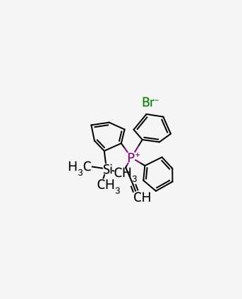 C#CC[P+](c1ccccc1)(c1ccccc1)c1ccccc1[Si](C)(C)C.[Br-]